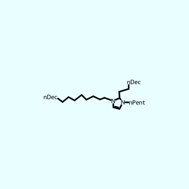 CCCCCCCCCCCCCCCCCCN1C=CN(CCCCC)C1CCCCCCCCCCCC